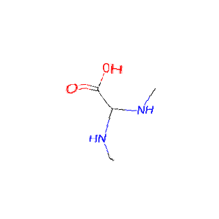 CNC(NC)C(=O)O